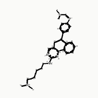 CN(C)/C=N\c1ccc(C2Cc3cnc(NCCCCCN(C)C)nc3-c3ccccc32)cc1